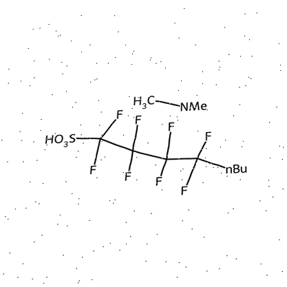 CCCCC(F)(F)C(F)(F)C(F)(F)C(F)(F)S(=O)(=O)O.CNC